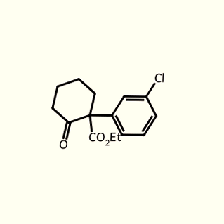 CCOC(=O)C1(c2cccc(Cl)c2)CCCCC1=O